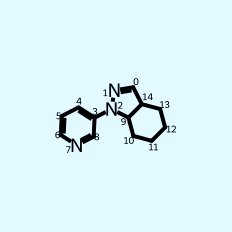 C1=NN(c2cccnc2)C2CCCCC12